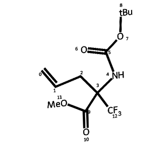 C=CCC(NC(=O)OC(C)(C)C)(C(=O)OC)C(F)(F)F